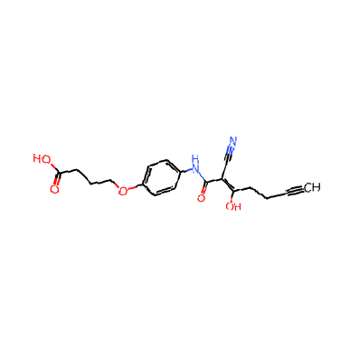 C#CCC/C(O)=C(\C#N)C(=O)Nc1ccc(OCCCC(=O)O)cc1